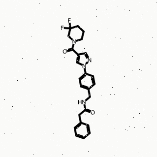 O=C(Cc1ccccc1)NCc1ccc(-n2cc(C(=O)N3CCCC(F)(F)C3)cn2)cc1